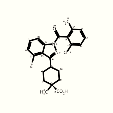 C[C@]1(C(=O)O)CC[C@@H](c2nn(C(=O)c3c(Cl)cccc3C(F)(F)F)c3cccc(F)c32)CC1